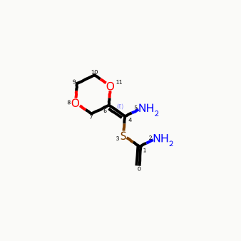 C=C(N)S/C(N)=C1\COCCO1